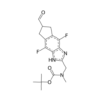 CN(Cc1nc2c(F)c3c(c(F)c2[nH]1)CC(C=O)C3)C(=O)OC(C)(C)C